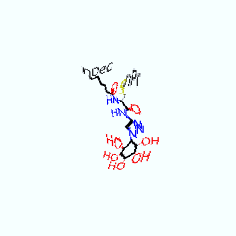 [CH2][CH]CSC[C@@H](NC(=O)CCCCCCCCCCCCCCC)C(=O)Nc1cn([C@@H]2[C@H](O)[C@H](O)[C@@H](O)[C@H](O)[C@H]2O)nn1